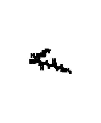 CCC(NCCNCCN)[SiH2]OC(C)C